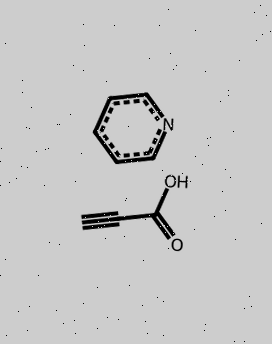 C#CC(=O)O.c1ccncc1